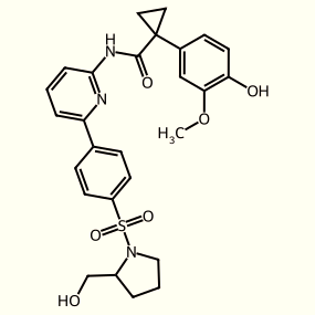 COc1cc(C2(C(=O)Nc3cccc(-c4ccc(S(=O)(=O)N5CCCC5CO)cc4)n3)CC2)ccc1O